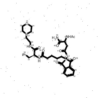 CC(=O)NC(CC(=O)S[N+]1(CCCCC(=O)N[C@@H](CC(C)C)C(=O)NCCN2CCOCC2)C(=O)c2ccccc2C1=O)C(N)=O